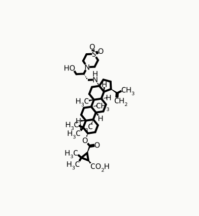 C=C(C)[C@@H]1CC[C@]2(NC[C@H](CO)N3CCS(=O)(=O)CC3)CC[C@]3(C)[C@H](CC[C@@H]4[C@@]5(C)CC[C@H](OC(=O)[C@H]6[C@@H](C(=O)O)C6(C)C)C(C)(C)[C@@H]5CC[C@]43C)[C@@H]12